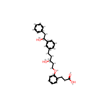 O=C(O)CCc1ccccc1OCC[C@@H](O)CCc1cccc(C(O)Cc2ccccc2)c1